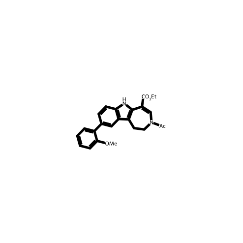 CCOC(=O)C1=CN(C(C)=O)CCc2c1[nH]c1ccc(-c3ccccc3OC)cc21